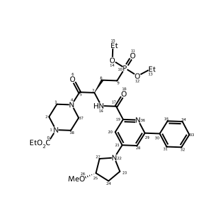 CCOC(=O)N1CCN(C(=O)[C@@H](CCP(=O)(OCC)OCC)NC(=O)c2cc(N3CC[C@H](OC)C3)cc(-c3ccccc3)n2)CC1